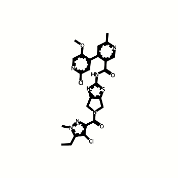 CCc1c(Cl)c(C(=O)N2Cc3nc(NC(=O)c4cnc(C)cc4-c4cc(Cl)ncc4OC)sc3C2)nn1C